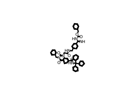 N=C(NC(=O)OCc1ccccc1)c1ccc(CNC(=O)Cn2c(=O)n(Cc3ccccc3)c(=O)c3ccc(C(=O)NC(c4ccccc4)(c4ccccc4)c4ccccc4)cc32)cc1